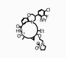 CCCc1c(C2COc3ccc4cc3N(CCC(CC)C(OCCN3CCCS3(=O)=O)C3=CC3CC(C)[S+]([O-])NC4=O)C2)ccc(Cl)c1F